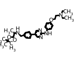 CCN(CC)CCOc1ccc(Nc2ncc(-c3ccc(CN[C@H](C)C(=O)OC(C)(C)C)cc3)cn2)cc1